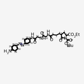 CCOC(=O)C1CC(CCCC(=O)NCC(=O)NCC(=O)Nc2ccc(/N=N/c3ccc(N)cc3)cc2)C(=O)N1C(=O)OC(C)(C)C